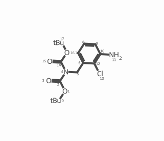 CC(C)(C)OC(=O)N(Cc1cccc(N)c1Cl)C(=O)OC(C)(C)C